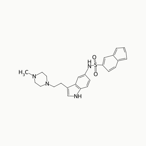 CN1CCN(CCc2c[nH]c3ccc(NS(=O)(=O)c4ccc5ccccc5c4)cc23)CC1